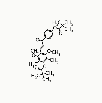 COc1c(C)c(OC(=O)C(C)(C)C)c(C)c(OC)c1C=CC(=O)c1ccc(OC(=O)C(C)(C)C)cc1